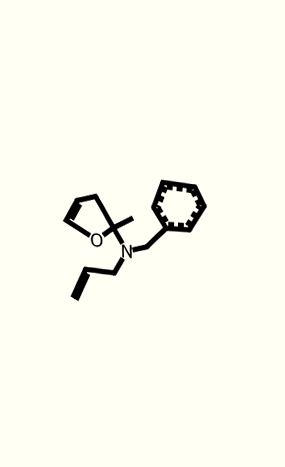 C=CCN(Cc1ccccc1)C1(C)CC=CO1